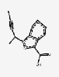 CC#CC(C)n1nc(C(=O)O)c2ccccc21